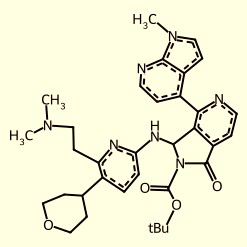 CN(C)CCc1nc(NC2c3c(ccnc3-c3ccnc4c3ccn4C)C(=O)N2C(=O)OC(C)(C)C)ccc1C1CCOCC1